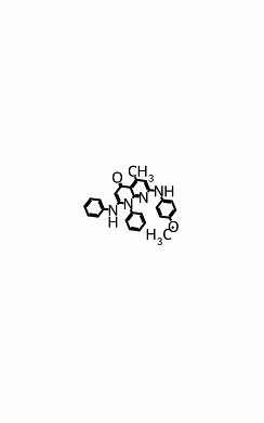 COc1ccc(Nc2cc(C)c3c(=O)cc(Nc4ccccc4)n(-c4ccccc4)c3n2)cc1